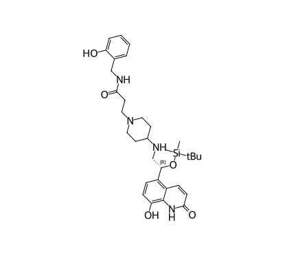 CC(C)(C)[Si](C)(C)O[C@@H](CNC1CCN(CCC(=O)NCc2ccccc2O)CC1)c1ccc(O)c2[nH]c(=O)ccc12